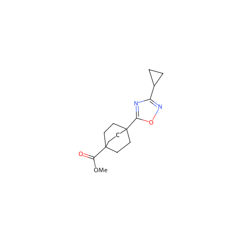 COC(=O)C12CCC(c3nc(C4CC4)no3)(CC1)CC2